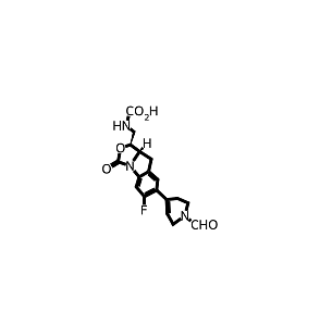 O=CN1CC=C(c2cc3c(cc2F)N2C(=O)O[C@@H](CNC(=O)O)[C@@H]2C3)CC1